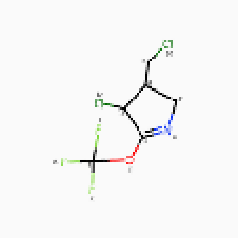 FC(F)(F)OC1=NCC(CCl)C1Cl